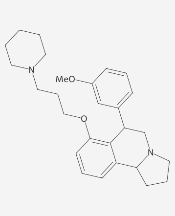 COc1cccc(C2CN3CCCC3c3cccc(OCCCN4CCCCC4)c32)c1